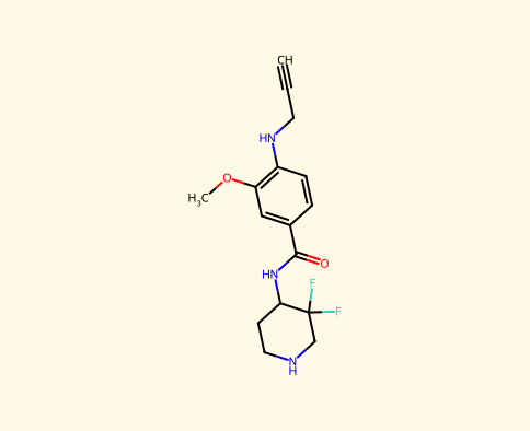 C#CCNc1ccc(C(=O)NC2CCNCC2(F)F)cc1OC